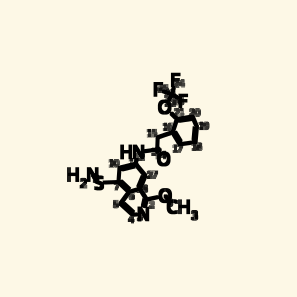 COc1nccc2c(SN)cc(NC(=O)Cc3ccccc3OC(F)(F)F)cc12